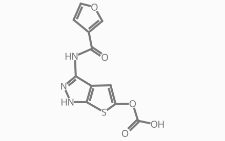 O=C(O)Oc1cc2c(NC(=O)c3ccoc3)n[nH]c2s1